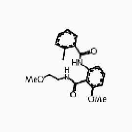 COCCNC(=O)c1c(NC(=O)c2ccccc2C)cccc1OC